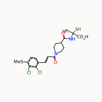 CCCC(S)(NC(=O)C1CCN(C(=O)C=Cc2ccc(SC)c(Cl)c2Cl)CC1)C(=O)O